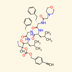 C#Cc1ccc(COC(=O)OC(C)(CI)C(=O)[C@H](CC(C)C)NC(=O)[C@H](Cc2ccccc2)NC(=O)[C@H](CC(C)C)NC(=O)[C@H](CCc2ccccc2)NC(=O)CN2CCOCC2)cc1